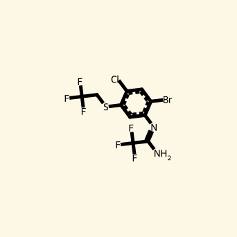 N/C(=N/c1cc(SCC(F)(F)F)c(Cl)cc1Br)C(F)(F)F